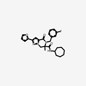 CC1(C(=O)NC2CCCCCC2)Cn2nc(-c3ccco3)cc2C(=O)N1Cc1cccc(F)c1